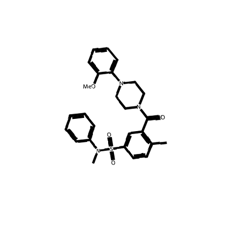 COc1ccccc1N1CCN(C(=O)c2cc(S(=O)(=O)N(C)c3ccccc3)ccc2C)CC1